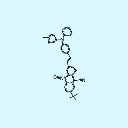 [C-]#[N+]c1c2ccc(C(C)(C)C)cc2c(C#N)c2ccc(C=Cc3ccc(N(c4ccccc4)c4ccc(C)cc4)cc3)cc12